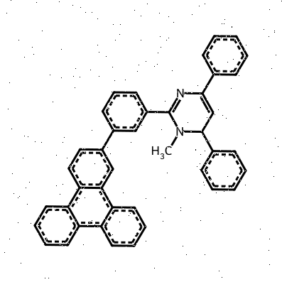 CN1C(c2cccc(-c3ccc4c5ccccc5c5ccccc5c4c3)c2)=NC(c2ccccc2)=CC1c1ccccc1